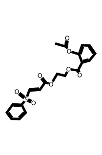 CC(=O)Oc1ccccc1C(=O)OCCOC(=O)/C=C/S(=O)(=O)c1ccccc1